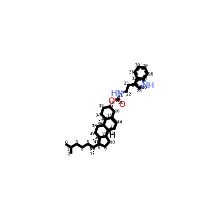 CC(C)CCC[C@@H](C)C1CCC2[C@@H]3CC=C4C[C@@H](OC(=O)NCCc5c[nH]c6ccccc56)CC[C@]4(C)C3CC[C@@]21C